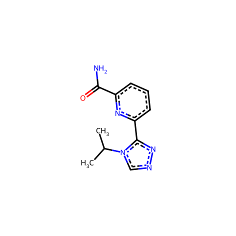 CC(C)n1cnnc1-c1cccc(C(N)=O)n1